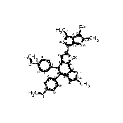 C=Cc1ccc(-c2c(-c3ccc(C=C)cc3)c3cc(-c4sc(C)c5c(F)c(C)sc45)sc3c3sc(C)cc23)cc1